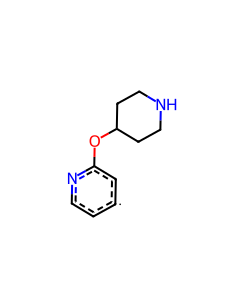 [c]1ccnc(OC2CCNCC2)c1